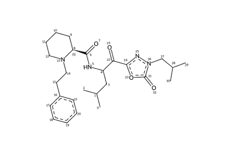 CC(C)CC(NC(=O)[C@@H]1CCCCN1CCc1ccccc1)C(=O)c1nn(CC(C)C)c(=O)o1